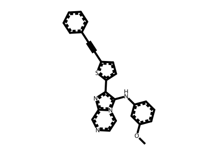 COc1cccc(Nc2c(-c3ccc(C#Cc4ccccc4)s3)nc3cnccn23)c1